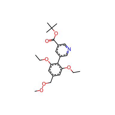 CCOc1cc(COOC)cc(OCC)c1-c1cncc(C(=O)OC(C)(C)C)c1